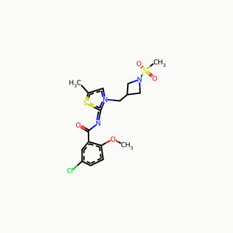 COc1ccc(Cl)cc1C(=O)N=c1sc(C)cn1CC1CN(S(C)(=O)=O)C1